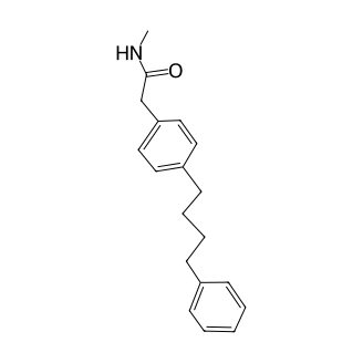 CNC(=O)Cc1ccc(CCCCc2ccccc2)cc1